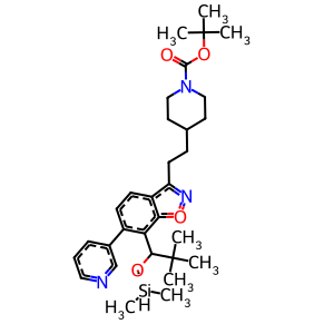 C[SiH](C)OC(c1c(-c2cccnc2)ccc2c(CCC3CCN(C(=O)OC(C)(C)C)CC3)noc12)C(C)(C)C